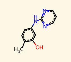 Cc1ccc(Nc2ncccn2)cc1O